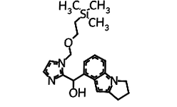 C[Si](C)(C)CCOCn1ccnc1C(O)c1cccc2c1cc1n2CCC1